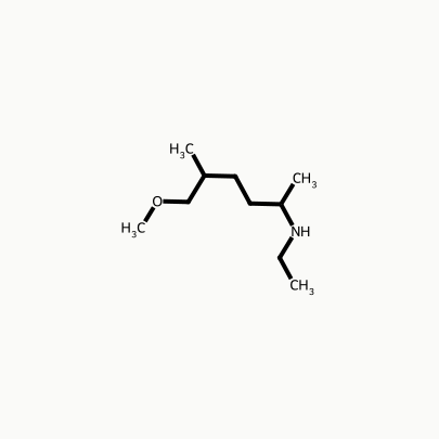 CCNC(C)CCC(C)COC